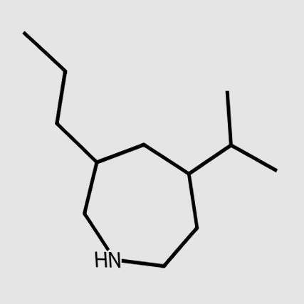 CCCC1CNCCC(C(C)C)C1